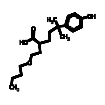 CCCCOCCC(CCC(C)(C)c1ccc(O)cc1)C(=O)O